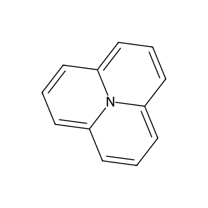 C1=CC2=CC=CC3=CC=CC(=C1)N23